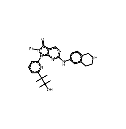 CCn1c(=O)c2cnc(Nc3ccc4c(c3)CCNC4)nc2n1-c1cccc(C(C)(C)C(C)(C)O)n1